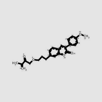 C=C(C)C(=O)COCCCc1ccc2cc(-c3ccc(OC)cc3)c(=O)oc2c1